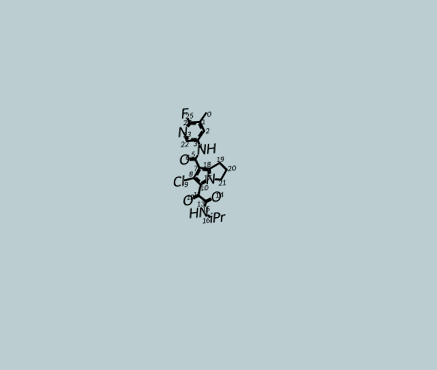 Cc1cc(NC(=O)c2c(Cl)c(C(=O)C(=O)NC(C)C)n3c2CCC3)cnc1F